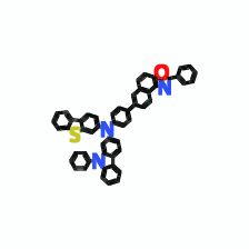 c1ccc(-c2nc3c(ccc4cc(-c5ccc(N(c6ccc7c(c6)sc6ccccc67)c6ccc7c8ccccc8n(-c8ccccc8)c7c6)cc5)ccc43)o2)cc1